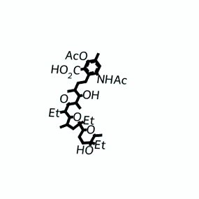 CCC(C(=O)C(C)C(O)C(C)CCc1c(NC(C)=O)cc(C)c(OC(C)=O)c1C(=O)O)C1OC(CC)(C2CCC(O)(CC)C(C)O2)CC1C